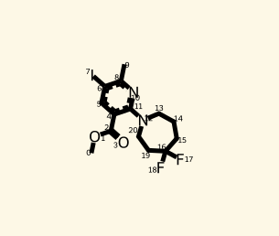 COC(=O)c1cc(I)c(C)nc1N1CCCC(F)(F)CC1